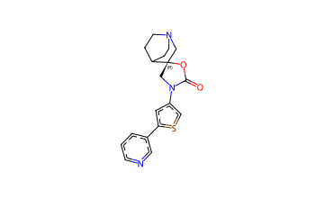 O=C1O[C@]2(CN3CCC2CC3)CN1c1csc(-c2cccnc2)c1